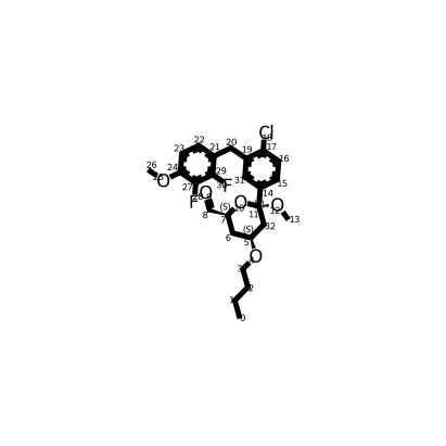 CCCCO[C@H]1C[C@@H](C=O)O[C@@](OC)(c2ccc(Cl)c(Cc3ccc(OC)c(F)c3F)c2)C1